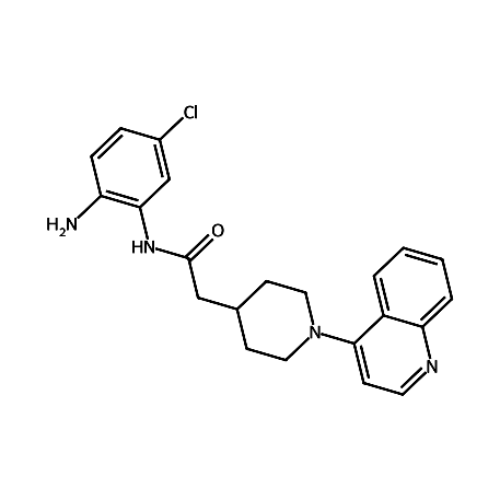 Nc1ccc(Cl)cc1NC(=O)CC1CCN(c2ccnc3ccccc23)CC1